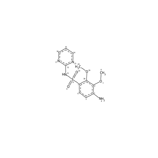 COc1c(N)ccc(S(=O)(=O)Nc2ncccn2)c1OC